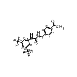 CC(=O)c1ccc(CNC(=S)Nc2cc(C(F)(F)F)cc(C(F)(F)F)c2)cc1